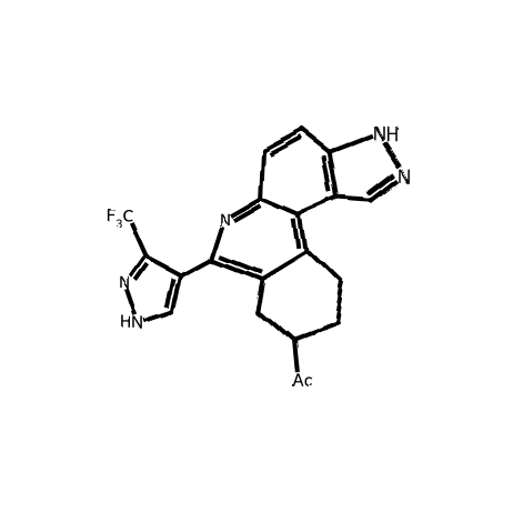 CC(=O)C1CCc2c(c(-c3c[nH]nc3C(F)(F)F)nc3ccc4[nH]ncc4c23)C1